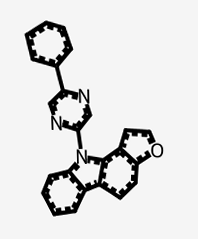 c1ccc(-c2cnc(-n3c4ccccc4c4ccc5occc5c43)cn2)cc1